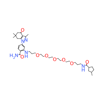 Cc1nn(-c2ccc(C(N)=O)c(NCCCOCCOCCOCCOCCOCCCNC(=O)C3CCC(C)C3)c2)c2c1C(=O)CC(C)(C)C2